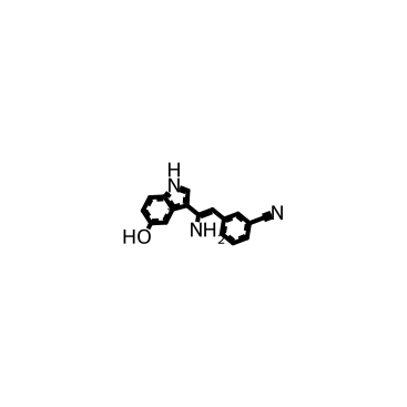 N#Cc1cccc(/C=C(\N)c2c[nH]c3ccc(O)cc23)c1